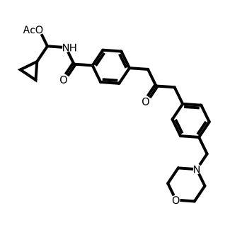 CC(=O)OC(NC(=O)c1ccc(CC(=O)Cc2ccc(CN3CCOCC3)cc2)cc1)C1CC1